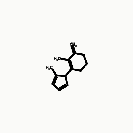 C=C1CCCC(C2C=CC=C2C)=C1C